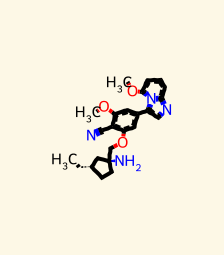 CC[C@H]1CC[C@@](N)(COc2cc(-c3cnc4cccc(OC)n34)cc(OC)c2C#N)C1